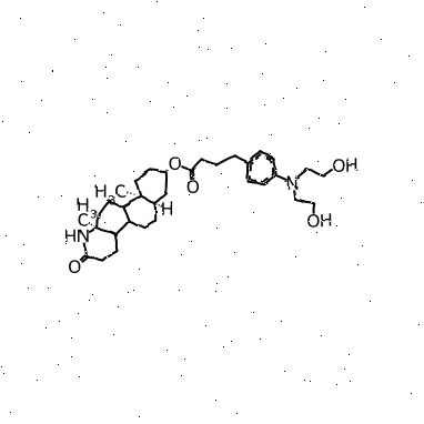 C[C@]12CCC3C(CC[C@@H]4C[C@@H](OC(=O)CCCc5ccc(N(CCO)CCO)cc5)CC[C@]34C)C1CCC(=O)N2